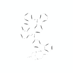 CC1CC2CC(C)C3(c4ccccc4-c4cc(N(c5ccc6c7ccccc7n(-c7ccccc7)c6c5)c5cccc6ccccc56)ccc43)C(C1)C2